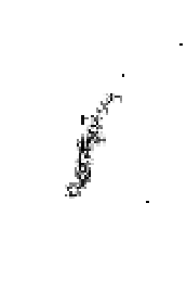 OCCCCCNc1ccc(Nc2ncnc(N3CCN(c4ncc(Cc5ccccc5)cn4)CC3)n2)cc1